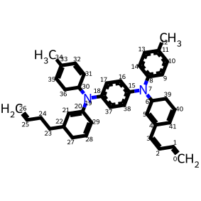 C=C/C=C\C1=CC(N(c2ccc(C)cc2)c2ccc(N(C3=CC(CCC=C)CC=C3)C3C=CC(C)=CC3)cc2)CC=C1